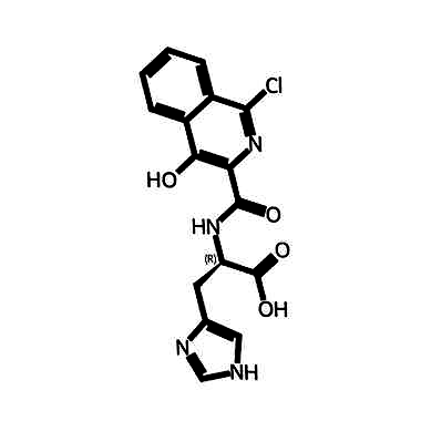 O=C(N[C@H](Cc1c[nH]cn1)C(=O)O)c1nc(Cl)c2ccccc2c1O